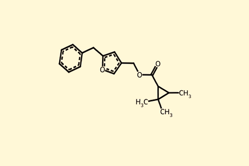 CC1C(C(=O)OCc2coc(Cc3ccccc3)c2)C1(C)C